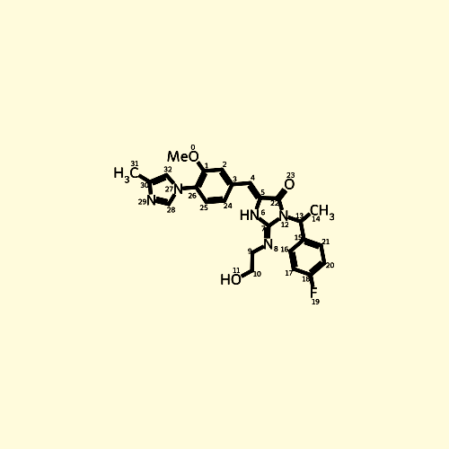 COc1cc(/C=C2\N/C(=N\CCO)N(C(C)c3ccc(F)cc3)C2=O)ccc1-n1cnc(C)c1